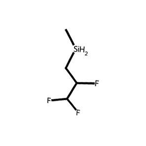 C[SiH2]CC(F)C(F)F